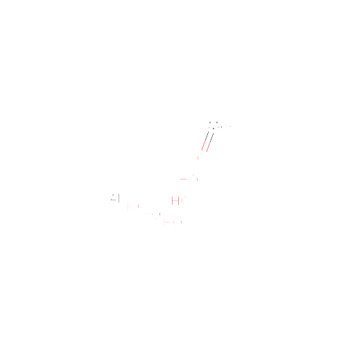 [Al+3].[OH-].[OH-].[OH-].[OH-].[OH-].[O]=[Mo+2]